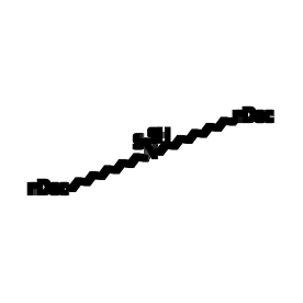 CCCCCCCCCCCCCCCCCCCCCN(CCCCCCCCCCCCCCCCCCCCC)C(=S)S